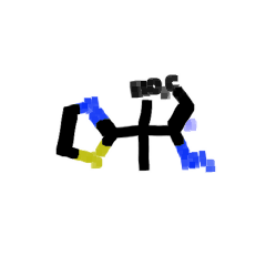 CCOC(=O)/C=C(/N)C(C)(C)c1nccs1